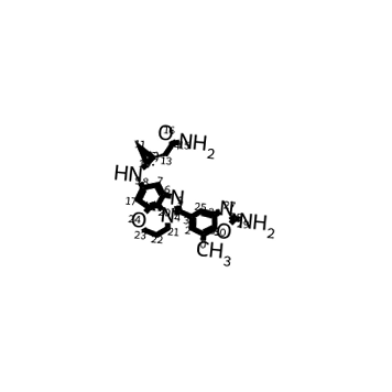 Cc1cc(-c2nc3cc(N[C]4C[C@H]4CC(N)=O)cc4c3n2CCCO4)cc2nc(N)oc12